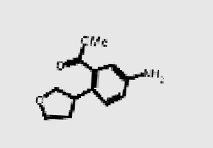 COC(=O)c1cc(N)ccc1C1CCOC1